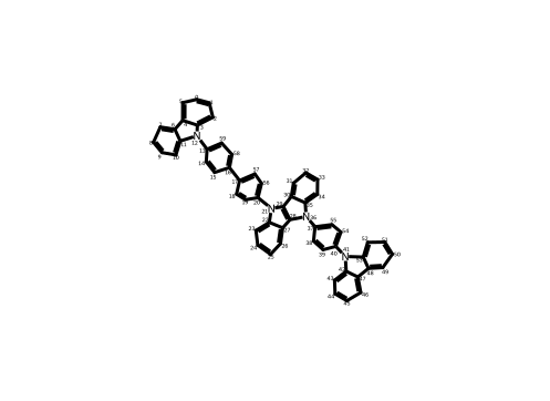 c1ccc2c(c1)c1ccccc1n2-c1ccc(-c2ccc(-n3c4ccccc4c4c3c3ccccc3n4-c3ccc(-n4c5ccccc5c5ccccc54)cc3)cc2)cc1